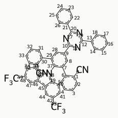 N#Cc1ccccc1-c1cc(-c2nc(-c3ccccc3)nc(-c3ccccc3)n2)cc(-c2ccccc2C#N)c1-n1c2ccc(C(F)(F)F)cc2c2cc(C(F)(F)F)ccc21